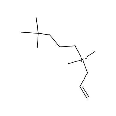 C=CC[N+](C)(C)CCCC(C)(C)C